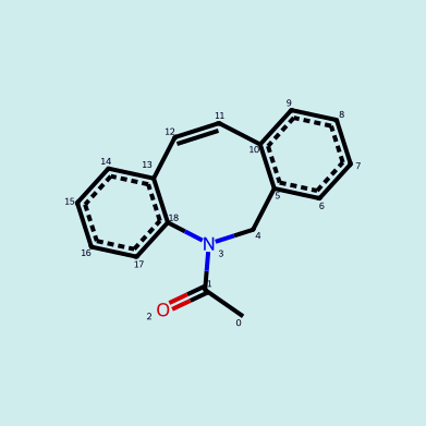 CC(=O)N1Cc2ccccc2C=Cc2ccccc21